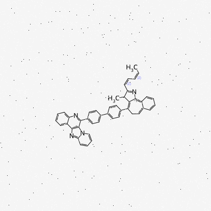 C/C=C\C=C/C1=NC2=c3ccccc3=CCC(c3ccc(-c4ccc(-c5nc6ccccc6c6nc7ccccn7c56)cc4)cc3)=C2C1C